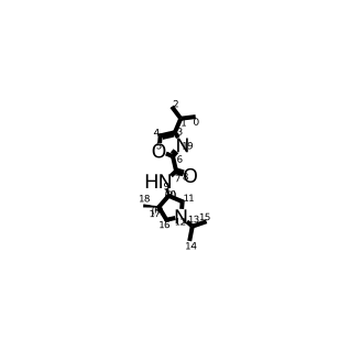 CC(C)c1coc(C(=O)N[C@H]2CN(C(C)C)C[C@H]2C)n1